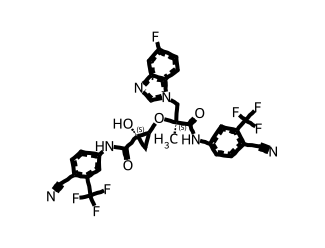 C[C@@](Cn1cnc2cc(F)ccc21)(OC1C[C@@]1(O)C(=O)Nc1ccc(C#N)c(C(F)(F)F)c1)C(=O)Nc1ccc(C#N)c(C(F)(F)F)c1